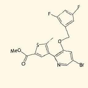 COC(=O)c1cc(-c2ncc(Br)cc2OCc2cc(F)cc(F)c2)c(C)s1